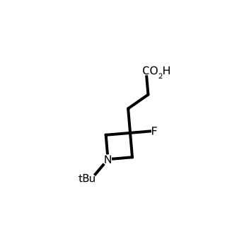 CC(C)(C)N1CC(F)(CCC(=O)O)C1